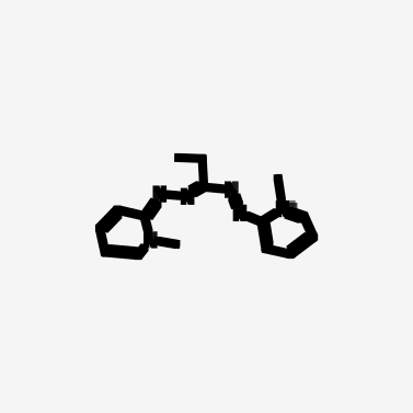 CCC(N=Nc1cccc[n+]1C)=NN=c1ccccn1C